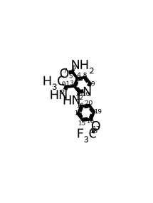 CC(=N)c1c(C(N)=O)ccnc1Nc1ccc(OC(F)(F)F)cc1